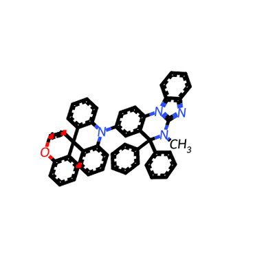 CN1c2nc3ccccc3n2-c2ccc(N3c4ccccc4C4(c5ccccc5Oc5ccccc54)c4ccccc43)cc2C1(c1ccccc1)c1ccccc1